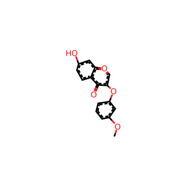 COc1cccc(Oc2coc3cc(O)ccc3c2=O)c1